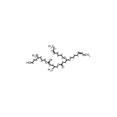 [CH2]C(COC(=O)CCC(OCCCC/C=C\CC)OCCCC/C=C\CC)COC(=O)OCCCN(C)CCCO